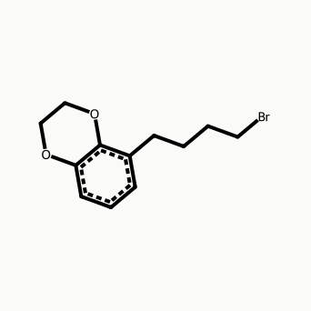 BrCCCCc1cccc2c1OCCO2